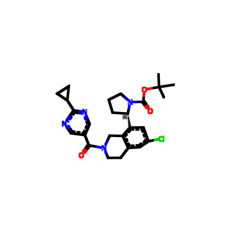 CC(C)(C)OC(=O)N1CCC[C@H]1c1cc(Cl)cc2c1CN(C(=O)c1cnc(C3CC3)nc1)CC2